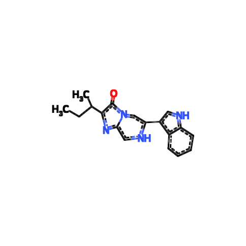 CCC(C)c1nc2c[nH]c(-c3c[nH]c4ccccc34)cn-2c1=O